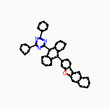 c1ccc(-c2nc(-c3ccccc3)nc(-c3c4ccccc4c(-c4ccc5c(c4)oc4cc6ccccc6cc45)c4ccccc34)n2)cc1